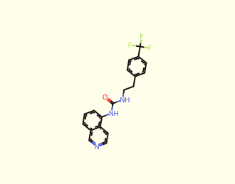 O=C(NCCc1ccc(C(F)(F)F)cc1)Nc1cccc2cnccc12